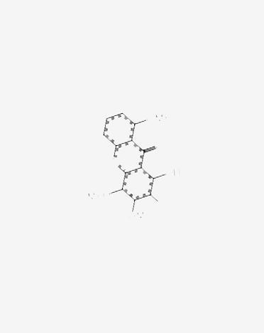 COc1c(O)c(O)c2c(=O)c3c(OC)cccc3oc2c1OC